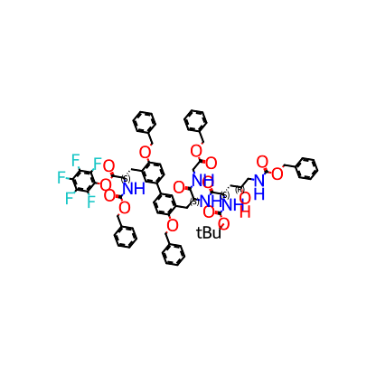 CC(C)(C)OC(=O)N[C@@H](C[C@@H](O)CNC(=O)OCc1ccccc1)C(=O)N[C@@H](Cc1cc(-c2ccc(OCc3ccccc3)c(C[C@H](NC(=O)OCc3ccccc3)C(=O)Oc3c(F)c(F)c(F)c(F)c3F)c2)ccc1OCc1ccccc1)C(=O)NCC(=O)OCc1ccccc1